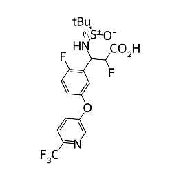 CC(C)(C)[S@@+]([O-])NC(c1cc(Oc2ccc(C(F)(F)F)nc2)ccc1F)C(F)C(=O)O